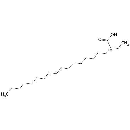 CCCCCCCCCCCCCCCC[CH][C@@H](CC)C(=O)O